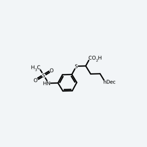 CCCCCCCCCCCCC(Sc1cccc(NS(C)(=O)=O)c1)C(=O)O